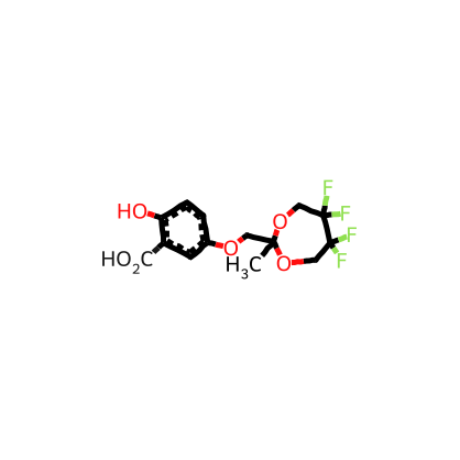 CC1(COc2ccc(O)c(C(=O)O)c2)OCC(F)(F)C(F)(F)CO1